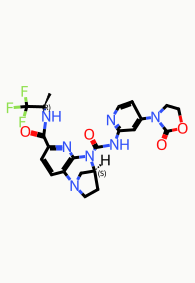 C[C@@H](NC(=O)c1ccc2c(n1)N(C(=O)Nc1cc(N3CCOC3=O)ccn1)[C@H]1CCN2C1)C(F)(F)F